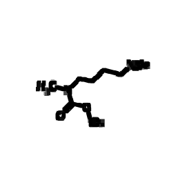 CNCCCCN(C)C(=O)OC(C)(C)C